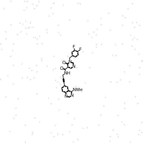 CNc1ncnc2ccc(C#CCNC(=O)c3cncn(Cc4ccc(F)c(F)c4)c3=O)cc12